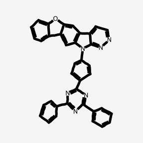 c1ccc(-c2nc(-c3ccccc3)nc(-c3ccc(-n4c5cc6c(cc5c5ccnnc54)oc4ccccc46)cc3)n2)cc1